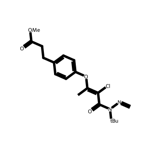 C=NN(C(=O)/C(Cl)=C(\C)Oc1ccc(CCC(=O)OC)cc1)C(C)(C)C